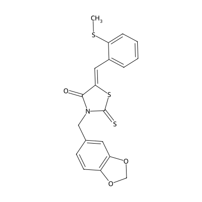 CSc1ccccc1C=C1SC(=S)N(Cc2ccc3c(c2)OCO3)C1=O